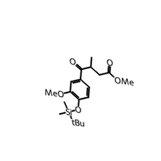 COC(=O)CC(C)C(=O)c1ccc(O[Si](C)(C)C(C)(C)C)c(OC)c1